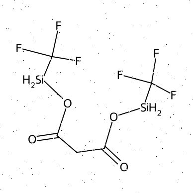 O=C(CC(=O)O[SiH2]C(F)(F)F)O[SiH2]C(F)(F)F